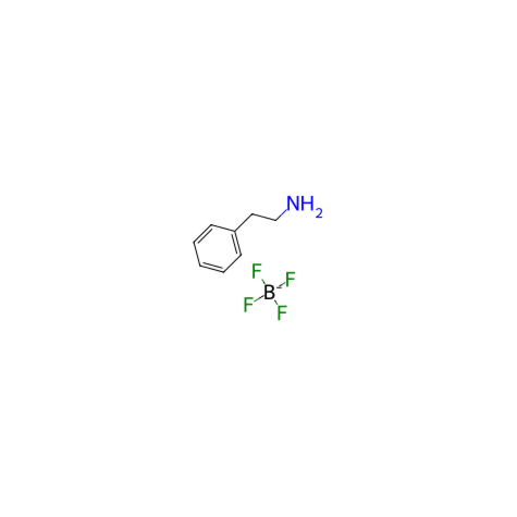 F[B-](F)(F)F.NCCc1ccccc1